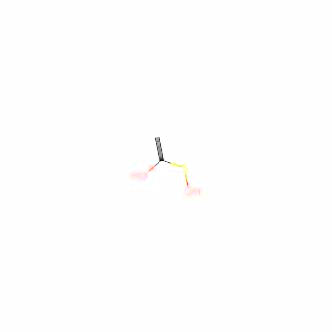 C=C(O)SO